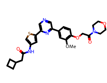 COc1cc(-c2cncc(-c3cc(NC(=O)CC4CCC4)cs3)n2)ccc1OCC(=O)N1CCOCC1